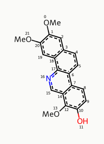 COc1cc2ccc3c4ccc(O)c(OC)c4cnc3c2cc1OC